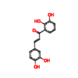 O=C(/C=C/c1ccc(O)c(O)c1)c1cccc(O)c1O